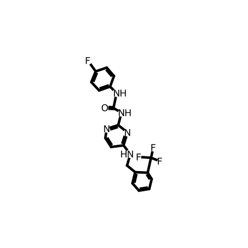 O=C(Nc1ccc(F)cc1)Nc1nccc(NCc2ccccc2C(F)(F)F)n1